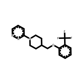 FC(F)(F)c1ccccc1OCC1CCN(c2cccnn2)CC1